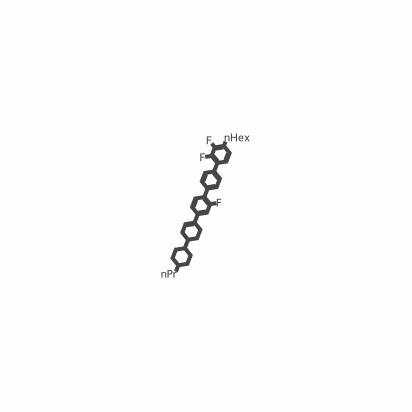 CCCCCCc1ccc(-c2ccc(-c3ccc(C4=CCC(C5CCC(CCC)CC5)CC4)cc3F)cc2)c(F)c1F